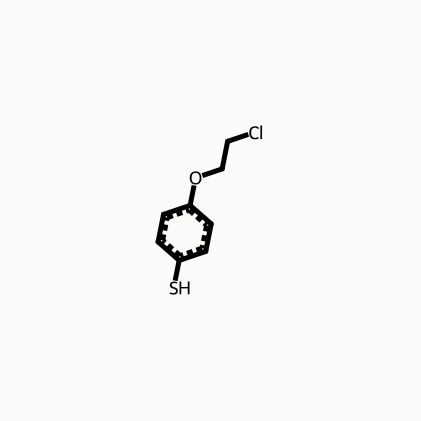 Sc1ccc(OCCCl)cc1